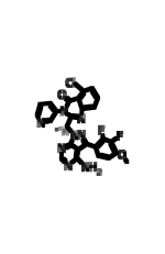 COc1ccc(-c2nn([C@H](C)c3nc4cccc(Cl)c4c(=O)n3-c3cccnc3)c3ncnc(N)c23)c(F)c1F